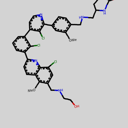 COc1cc(-c2nccc(-c3cccc(-c4ccc5c(OC)c(CNCCO)cc(Cl)c5n4)c3Cl)c2Cl)ccc1CNCC1CCC(=O)N1